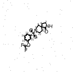 O=C1NCCC12CCN(S(=O)(=O)c1cccc(OC(F)F)c1)CC2